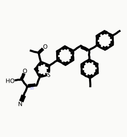 CC(=O)c1cc(/C=C(/C#N)C(=O)O)sc1-c1ccc(C=C(c2ccc(C)cc2)c2ccc(C)cc2)cc1